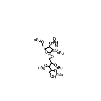 CCCCOC[C@H]1O[C@@H](OCC(OCCCC)C(OCCCC)C(CO)OCCCC)[C@@H](OCCCC)C1O[PH](=O)O